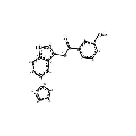 COc1cccc(C(=O)Nc2n[nH]c3ccc(-c4ccco4)cc23)c1